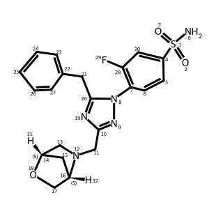 NS(=O)(=O)c1ccc(-n2nc(CN3C[C@@H]4C[C@H]3CO4)nc2Cc2ccccc2)c(F)c1